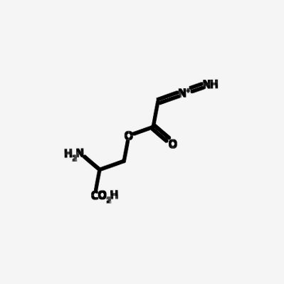 N=[N+]=CC(=O)OCC(N)C(=O)O